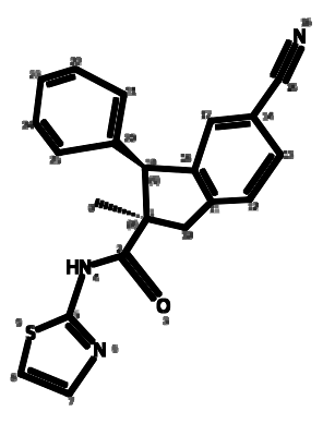 C[C@@]1(C(=O)Nc2nccs2)Cc2ccc(C#N)cc2[C@@H]1c1ccccc1